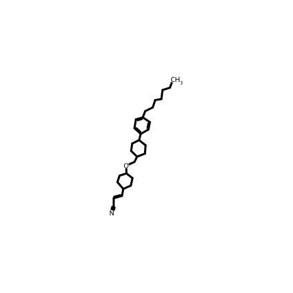 CCCCCCCc1ccc(C2CCC(COC3CCC(C=CC#N)CC3)CC2)cc1